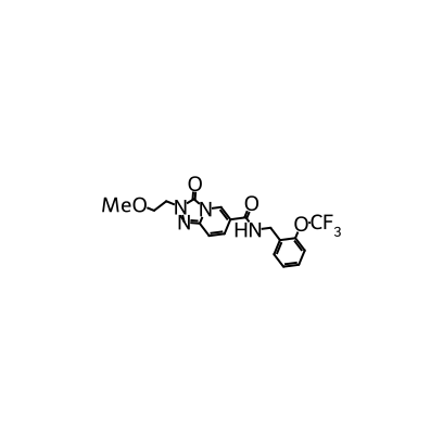 COCCn1nc2ccc(C(=O)NCc3ccccc3OC(F)(F)F)cn2c1=O